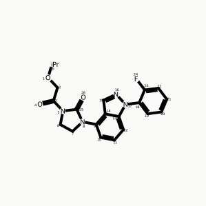 CC(C)OCC(=O)N1CCN(c2cccc3c2cnn3-c2ccccc2F)C1=O